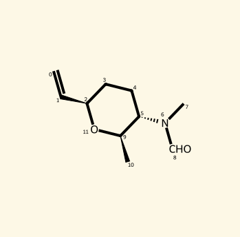 C=C[C@H]1CC[C@H](N(C)C=O)[C@@H](C)O1